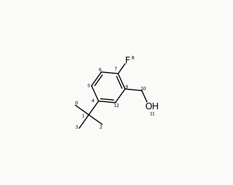 CC(C)(C)c1ccc(F)c(CO)c1